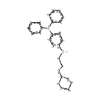 c1ccc([S+](c2ccccc2)c2ccc(OCCOC3CCCCO3)cc2)cc1